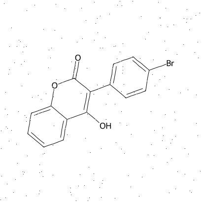 O=c1oc2ccccc2c(O)c1-c1ccc(Br)cc1